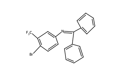 FC(F)(F)c1cc(N=C(c2ccccc2)c2ccccc2)ccc1Br